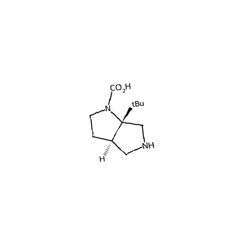 CC(C)(C)[C@@]12CNC[C@H]1CCN2C(=O)O